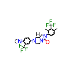 [C-]#[N+]c1ccc(N2CCN3C(=O)N(c4ccc(C)c(C(F)(F)F)c4C)C[C@@H]3C2)cc1C(F)(F)F